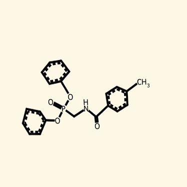 Cc1ccc(C(=O)NCP(=O)(Oc2ccccc2)Oc2ccccc2)cc1